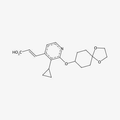 O=C(O)C=Cc1ccnc(OC2CCC3(CC2)OCCO3)c1C1CC1